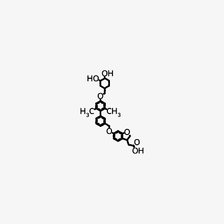 Cc1cc(OCC2CCC(O)C(O)C2)cc(C)c1-c1cccc(COc2ccc3c(c2)OCC3CC(=O)O)c1